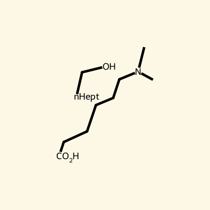 CCCCCCCCO.CN(C)CCCCCC(=O)O